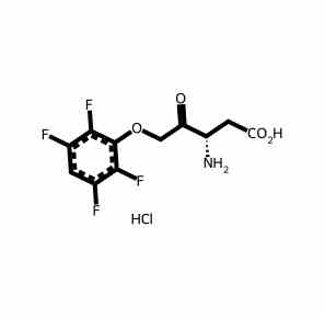 Cl.N[C@@H](CC(=O)O)C(=O)COc1c(F)c(F)cc(F)c1F